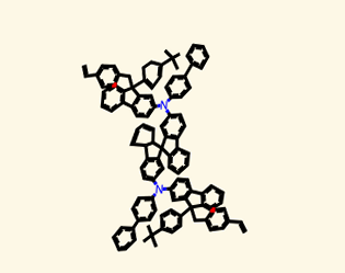 C=Cc1ccc(CC2(C3=CC=C(C(C)(C)C)CC3)c3ccccc3-c3ccc(N(c4ccc(-c5ccccc5)cc4)c4ccc5c(c4)C4(c6ccccc6-5)c5cc(N(c6ccc(-c7ccccc7)cc6)c6ccc7c(c6)C(Cc6ccc(C=C)cc6)(c6ccc(C(C)(C)C)cc6)c6ccccc6-7)ccc5C5C=CC=CC54)cc32)cc1